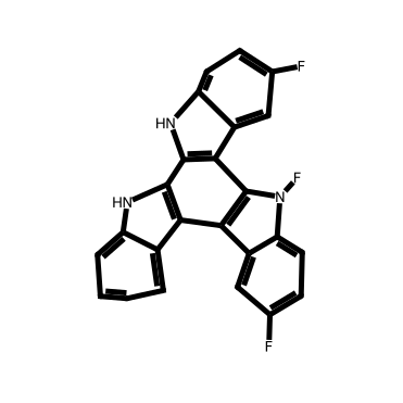 Fc1ccc2[nH]c3c4[nH]c5ccccc5c4c4c5cc(F)ccc5n(F)c4c3c2c1